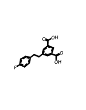 O=C(O)c1cc(CCc2ccc(F)cc2)cc(C(=O)O)c1